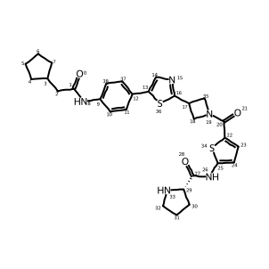 O=C(CC1CCCC1)Nc1ccc(-c2cnc(C3CN(C(=O)c4ccc(NC(=O)[C@@H]5CCCN5)s4)C3)s2)cc1